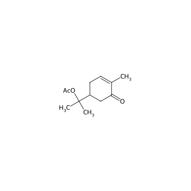 CC(=O)OC(C)(C)C1CC=C(C)C(=O)C1